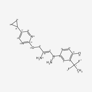 CC(F)(F)c1cc(N(N)/C=C(\N)COc2ncc(C3CC3)cn2)ccc1Cl